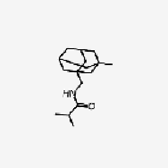 CC(C)C(=O)NCC12CC3CC(CC(C)(C3)C1)C2